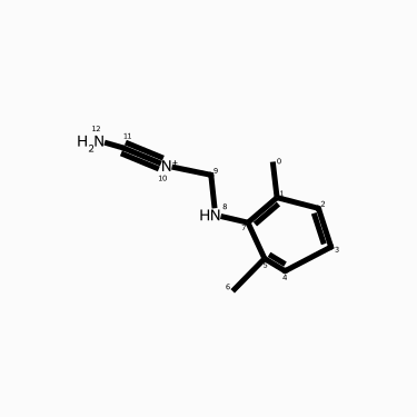 Cc1cccc(C)c1NC[N+]#CN